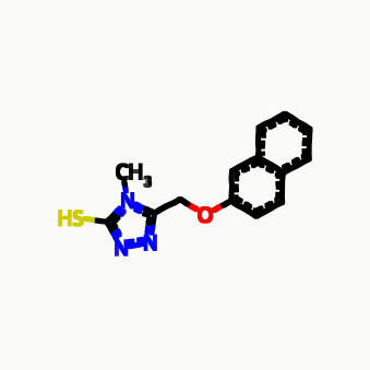 Cn1c(S)nnc1COc1ccc2ccccc2c1